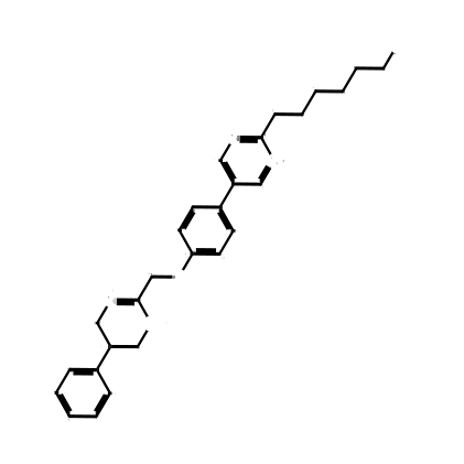 CCCCCCCc1ncc(-c2ccc(OCC3=NCC(c4ccccc4)CO3)cc2)cn1